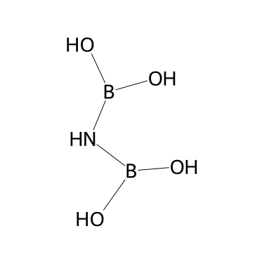 OB(O)NB(O)O